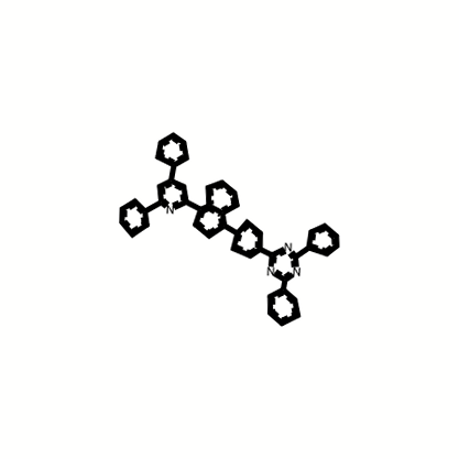 c1ccc(-c2cc(-c3ccccc3)nc(-c3ccc(-c4ccc(-c5nc(-c6ccccc6)nc(-c6ccccc6)n5)cc4)c4ccccc34)c2)cc1